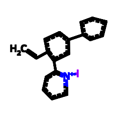 C=Cc1ccc(-c2ccccc2)cc1-c1cccc[n+]1I